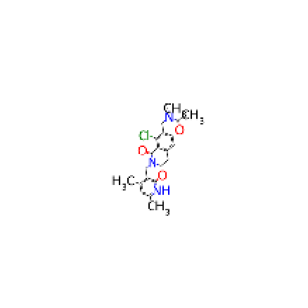 CC(=O)N(C)Cc1ccc2c(c1Cl)C(=O)N(Cc1c(C)cc(C)[nH]c1=O)CC2